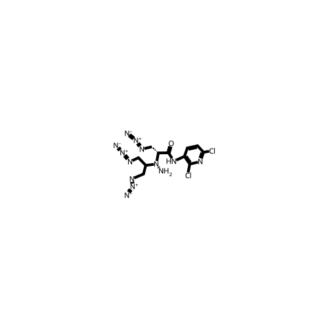 [N-]=[N+]=NCC(CN=[N+]=[N-])N(N)[C@H](CN=[N+]=[N-])C(=O)Nc1ccc(Cl)nc1Cl